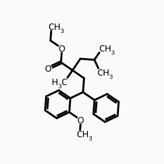 CCOC(=O)C(C)(CC(C)C)CC(c1ccccc1)c1ccccc1OC